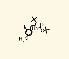 CC(C)(C)CC(Cc1ccc(N)cc1I)NC(=O)OC(C)(C)C